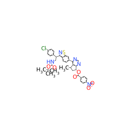 CC1CC(OC(=O)c2ccc([N+](=O)[O-])cc2)c2ncnc(-c3ccc4c(C(CNC(=O)OC(C)(C)C)c5ccc(Cl)cc5)nsc4c3)c21